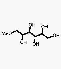 COC[C@H](O)[C@@H](O)[C@H](O)[C@@H](O)CO